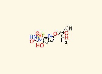 CC(O)(CC#N)CCOc1ccc2cc(O)c(N3CC(=O)NS3(=O)=O)c(F)c2n1